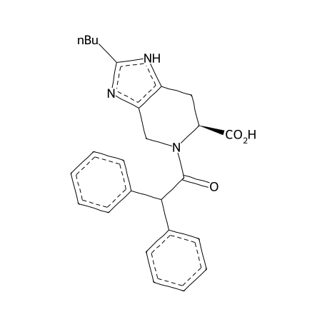 CCCCc1nc2c([nH]1)C[C@@H](C(=O)O)N(C(=O)C(c1ccccc1)c1ccccc1)C2